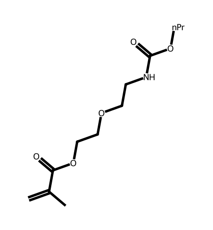 C=C(C)C(=O)OCCOCCNC(=O)OCCC